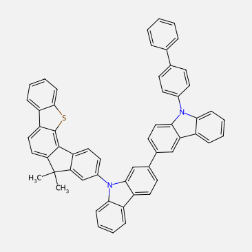 CC1(C)c2cc(-n3c4ccccc4c4ccc(-c5ccc6c(c5)c5ccccc5n6-c5ccc(-c6ccccc6)cc5)cc43)ccc2-c2c1ccc1c2sc2ccccc21